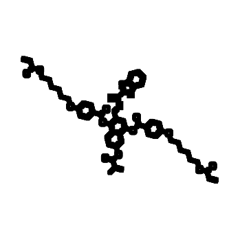 C=CC(=O)OCCCCCCOc1ccc(C(=O)Oc2cc(/C=N/Nc3nc4ccccc4s3)c(OC(=O)c3ccc(OCCCCCCOC(=O)C=C)cc3)c3ccc(OC(=O)C(=C)C)cc23)cc1